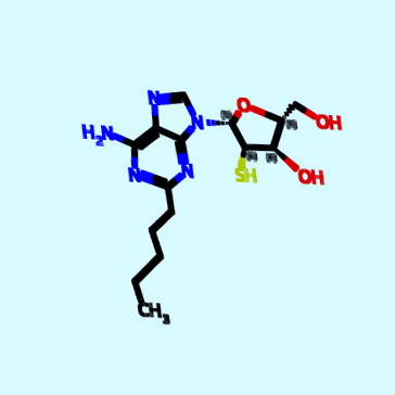 CCCCCc1nc(N)c2ncn([C@@H]3O[C@H](CO)[C@@H](O)[C@H]3S)c2n1